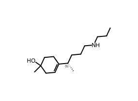 CCCNCCC[C@H](C)C1=CCC(C)(O)CC1